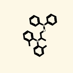 Cc1ccccc1N(c1ccccc1C)C(C)COB(c1ccccc1)c1ccccc1